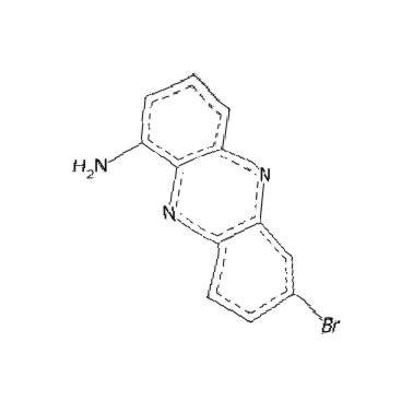 Nc1cccc2nc3cc(Br)ccc3nc12